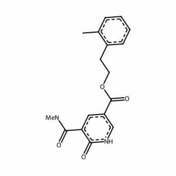 CNC(=O)c1cc(C(=O)OCCc2ccccc2C)c[nH]c1=O